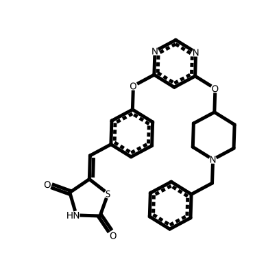 O=C1NC(=O)/C(=C/c2cccc(Oc3cc(OC4CCN(Cc5ccccc5)CC4)ncn3)c2)S1